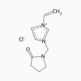 C=C[n+]1ccn(CN2CCCC2=O)c1.[Cl-]